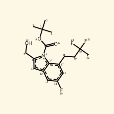 CC(C)(C)OC(=O)n1c(CO)cc2cc(F)cc(CCC(F)(F)F)c21